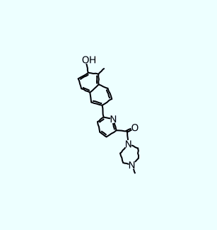 Cc1c(O)ccc2cc(-c3cccc(C(=O)N4CCN(C)CC4)n3)ccc12